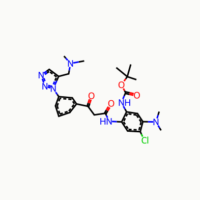 CN(C)Cc1cnnn1-c1cccc(C(=O)CC(=O)Nc2cc(Cl)c(N(C)C)cc2NC(=O)OC(C)(C)C)c1